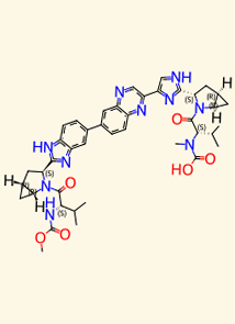 COC(=O)N[C@H](C(=O)N1[C@@H]2C[C@@H]2C[C@H]1c1nc2cc(-c3ccc4nc(-c5c[nH]c([C@@H]6C[C@H]7C[C@H]7N6C(=O)[C@H](C(C)C)N(C)C(=O)O)n5)cnc4c3)ccc2[nH]1)C(C)C